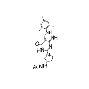 CC(=O)NC1CCN(C2=NC(=N)/C(=C\Nc3c(C)cc(C)cc3C)C(=O)N2)C1